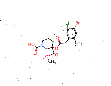 COC(=O)C1(OC(=O)Cc2cc(Cl)c(Br)cc2C)CCCN(C(=O)O)C1